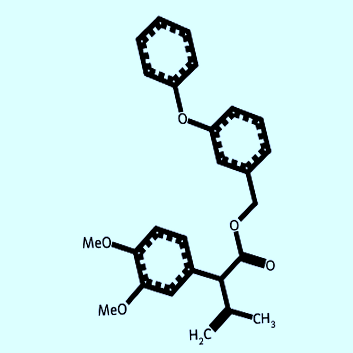 C=C(C)C(C(=O)OCc1cccc(Oc2ccccc2)c1)c1ccc(OC)c(OC)c1